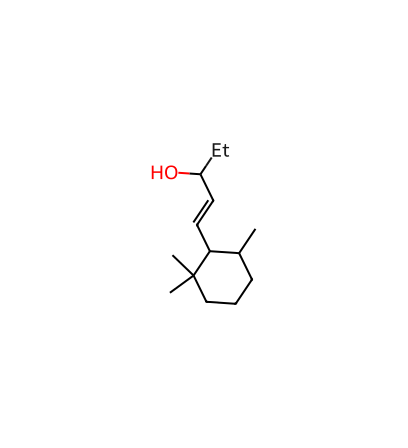 CCC(O)C=CC1C(C)CCCC1(C)C